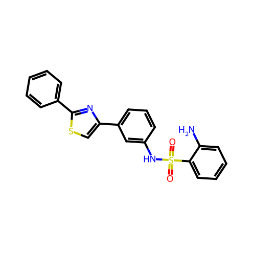 Nc1ccccc1S(=O)(=O)Nc1cccc(-c2csc(-c3ccccc3)n2)c1